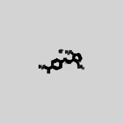 CNc1ccc(/N=N/c2n(C)cc[n+]2C)cc1.[Cl-]